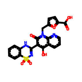 O=C(O)c1ccc(Cn2c(=O)c(C3=NS(=O)(=O)c4ccccc4N3)c(O)c3cccnc32)o1